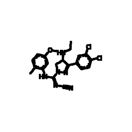 CCNC1CN(/C(=N\C#N)Nc2cc(OC)ccc2C)N=C1c1ccc(Cl)c(Cl)c1